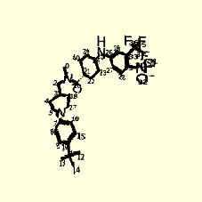 CN(CC1CCN(c2ccc(C(C)(C)I)cc2)CC1)C(=O)[C@H]1CC[C@H](Nc2ccc([N+](=O)[O-])c(C(F)(F)F)c2)CC1